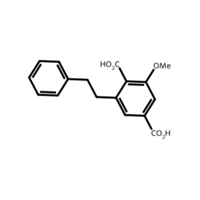 COc1cc(C(=O)O)cc(CCc2ccccc2)c1C(=O)O